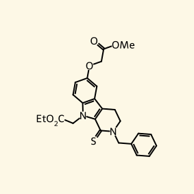 CCOC(=O)Cn1c2c(c3cc(OCC(=O)OC)ccc31)CCN(Cc1ccccc1)C2=S